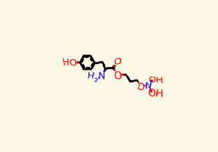 NC(Cc1ccc(O)cc1)C(=O)OCCCON(O)O